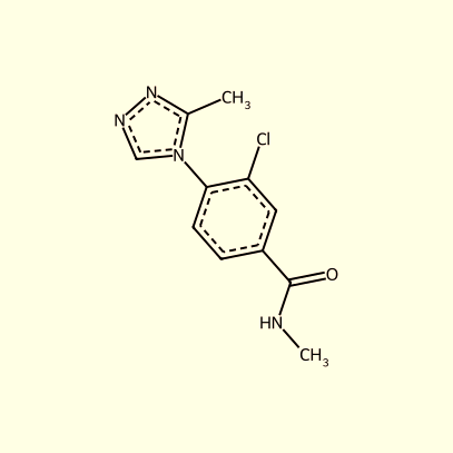 CNC(=O)c1ccc(-n2cnnc2C)c(Cl)c1